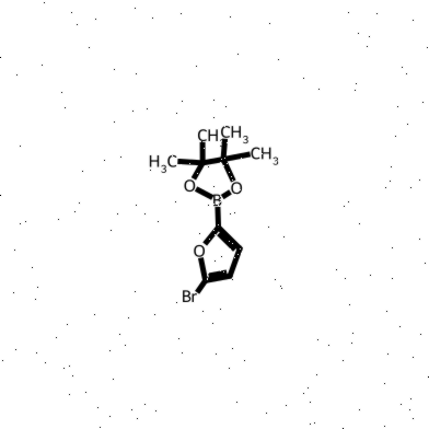 CC1(C)OB(c2ccc(Br)o2)OC1(C)C